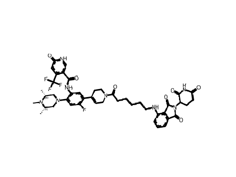 C[C@@H]1CN(c2cc(F)c(C3=CCN(C(=O)CCCCCNc4cccc5c4C(=O)N(C4CCC(=O)NC4=O)C5=O)CC3)cc2NC(=O)c2c[nH]c(=O)cc2C(F)(F)F)C[C@H](C)N1C